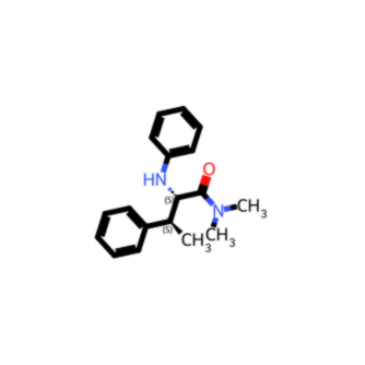 C[C@@H](c1ccccc1)[C@H](Nc1ccccc1)C(=O)N(C)C